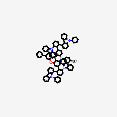 CC(C)(C)c1ccc(N2c3ccc(-c4c(-c5cccc6c5c5ccccc5n6-c5ccccc5)cccc4-n4c5ccccc5c5ccccc54)cc3B3c4ccc(-c5ccccc5)cc4Oc4cc(-c5c(-c6cccc7c8ccccc8n(-c8ccccc8)c67)cccc5-n5c6ccccc6c6ccccc65)cc2c43)cc1